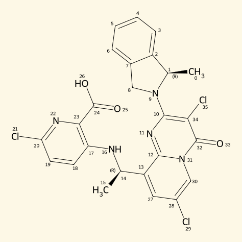 C[C@@H]1c2ccccc2CN1c1nc2c([C@@H](C)Nc3ccc(Cl)nc3C(=O)O)cc(Cl)cn2c(=O)c1Cl